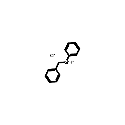 [Cl-].c1ccc([CH2][SnH+][c]2ccccc2)cc1